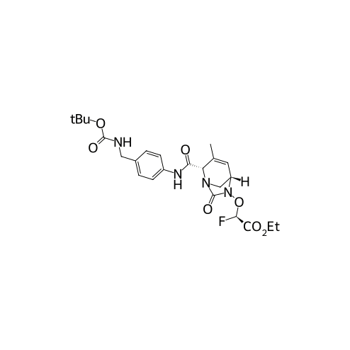 CCOC(=O)[C@@H](F)ON1C(=O)N2C[C@@H]1C=C(C)[C@H]2C(=O)Nc1ccc(CNC(=O)OC(C)(C)C)cc1